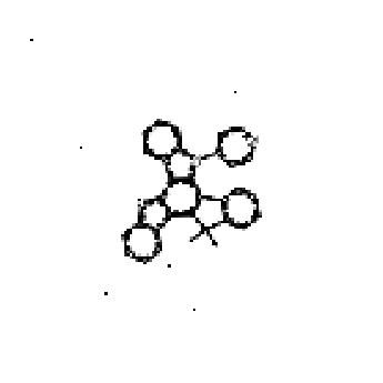 CC1(C)c2ccccc2-c2c1c1c3ccccc3oc1c1c3ccccc3n(-c3ccncc3)c21